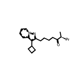 CC(C)[C@H](C)C(=O)CCCCc1nn2ccccc2c1C1CCC1